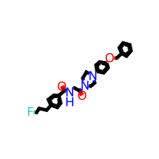 O=C(NCC(=O)N1CCN(c2ccc(OCc3ccccc3)cc2)CC1)c1ccc(CCCF)cc1